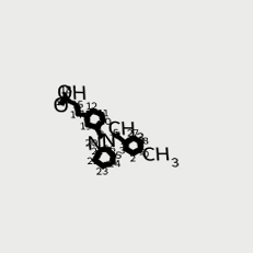 Cc1ccc(C(C)n2c(-c3cccc(C=CC(=O)O)c3)nc3ccccc32)cc1